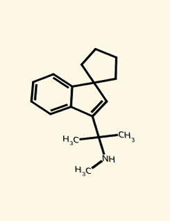 CNC(C)(C)C1=CC2(CCCC2)c2ccccc21